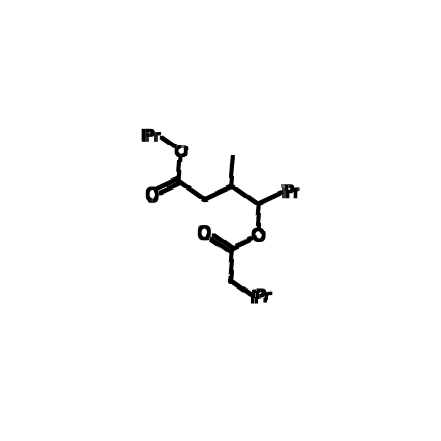 CC(C)CC(=O)OC(C(C)C)C(C)CC(=O)OC(C)C